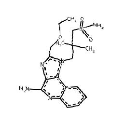 CCOCc1nc2c(N)nc3ccccc3c2n1CC(C)(C)CS(N)(=O)=O